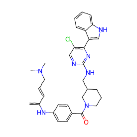 C=C(/C=C/CN(C)C)Nc1ccc(C(=O)N2CCCC(CNc3ncc(Cl)c(-c4c[nH]c5ccccc45)n3)C2)cc1